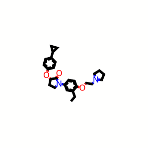 CCc1cc(N2CCC(Oc3ccc(C4CC4)cc3)C2=O)ccc1OCCN1CCCC1